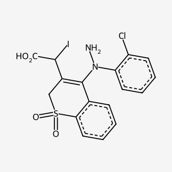 NN(C1=C(C(I)C(=O)O)CS(=O)(=O)c2ccccc21)c1ccccc1Cl